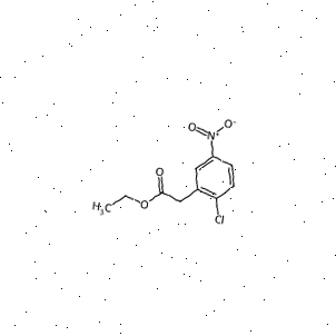 CCOC(=O)Cc1cc([N+](=O)[O-])ccc1Cl